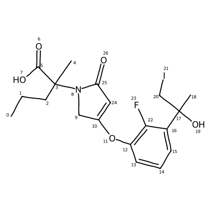 CCCC(C)(C(=O)O)N1CC(Oc2cccc(C(C)(O)CI)c2F)=CC1=O